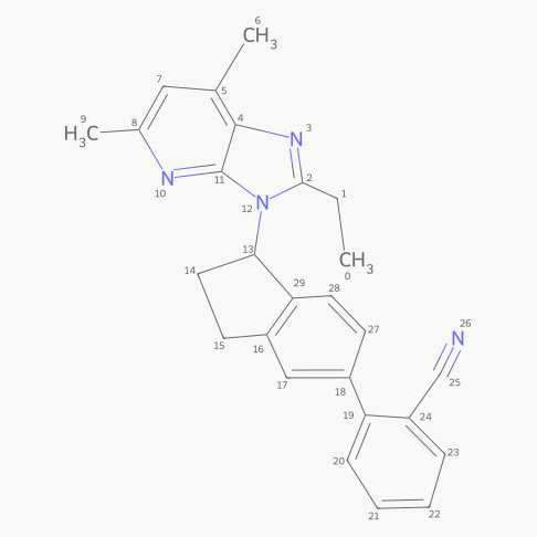 CCc1nc2c(C)cc(C)nc2n1C1CCc2cc(-c3ccccc3C#N)ccc21